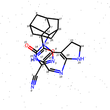 N#Cc1noc(C23CC4CC(C2)C(n2c(=O)[nH]c5cnc6c(c52)CCN6)C(C4)C3)n1